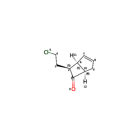 O=C1[C@@H](CCCl)[C@H]2C=CC[C@@H]12